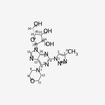 Cc1cn(-c2nc(N3CCOCC3)c3ncn([C@@H]4O[C@H](CO)C(O)[C@@H]4O)c3n2)nn1